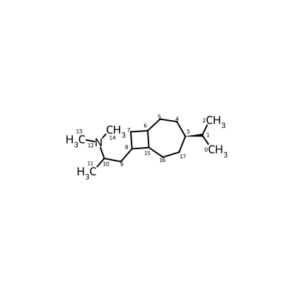 CC(C)[C@@H]1CCC2CC(CC(C)N(C)C)C2CC1